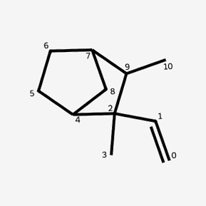 C=CC1(C)C2CCC(C2)C1C